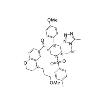 COCCCN1CCOc2ccc(C(=O)[C@H]3CN(S(=O)(=O)c4ccc(C)cc4)[C@@H](C[C@@H](C)n4nnnc4C)C[C@H]3c3ccc(OC)cc3)cc21